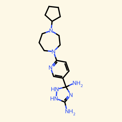 NC1=NC(N)(c2ccc(N3CCCN(C4CCCC4)CC3)nc2)NN1